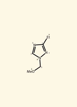 [CH2]Cc1ncn(COC)n1